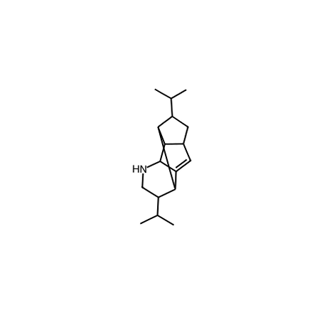 CC(C)C1CNC2C3=CC4CC(C(C)C)C(C31)C42